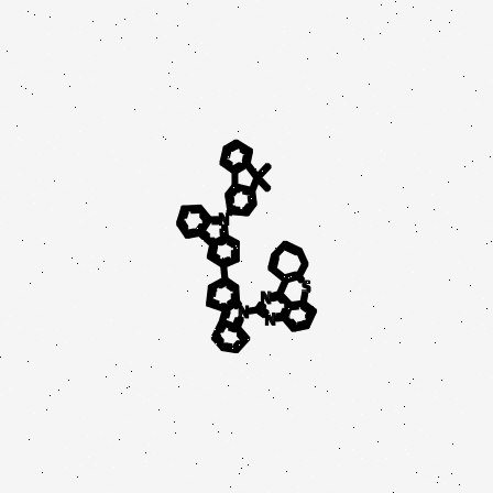 CC1(C)c2ccccc2-c2cc(-n3c4ccccc4c4cc(-c5ccc6c7ccccc7n(-c7nc8c9c(cccc9n7)SC7=C8C=CC=CC7)c6c5)ccc43)ccc21